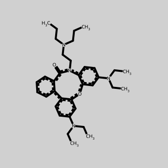 CCCN(CCC)CCn1c(=O)c2ccccc2c2ccc(N(CC)CC)cc2oc2cc(N(CC)CC)ccc21